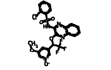 COc1cc(C(Oc2nc3ccccc3nc2NS(=O)(=O)c2ccccc2Cl)C(F)(F)F)c[n+]([O-])c1